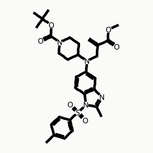 C=C(CN(c1ccc2c(c1)nc(C)n2S(=O)(=O)c1ccc(C)cc1)C1CCN(C(=O)OC(C)(C)C)CC1)C(=O)OC